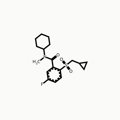 CN(C(=O)c1cc(F)ccc1S(=O)(=O)CC1CC1)C1CCCCC1